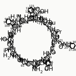 CCCC[C@H]1C(=O)N(C)[C@@H](CCCC)C(=O)N[C@@H](CC(C)C)C(=O)N[C@H](C(=O)NCC(=O)NCc2ccccc2)CSCC(=O)N[C@@H](Cc2ccc(O)cc2)C(=O)N(C)[C@@H](C)C(=O)N[C@@H](CC(N)=O)C(=O)N2CCC[C@H]2C(=O)N[C@@H](CN)C(=O)N[C@@H](CC(C)C)C(=O)N2C[C@H](O)C[C@H]2C(=O)N[C@@H](Cc2c[nH]c3ccccc23)C(=O)N[C@@H](CCN)C(=O)NC(Cc2cn(CC(O)O)c3ccccc23)C(=O)N1C